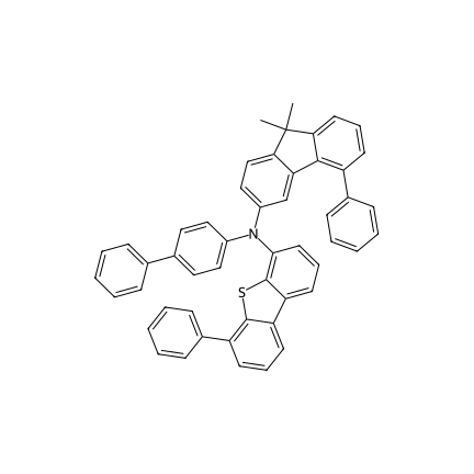 CC1(C)c2ccc(N(c3ccc(-c4ccccc4)cc3)c3cccc4c3sc3c(-c5ccccc5)cccc34)cc2-c2c(-c3ccccc3)cccc21